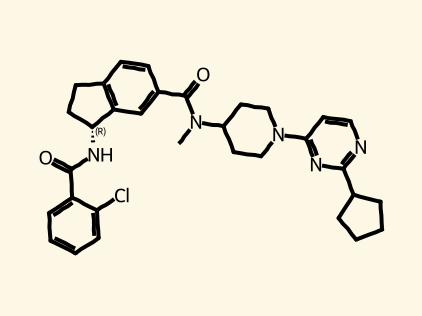 CN(C(=O)c1ccc2c(c1)[C@H](NC(=O)c1ccccc1Cl)CC2)C1CCN(c2ccnc(C3CCCC3)n2)CC1